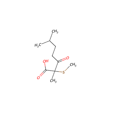 CSC(C)(C(=O)O)C(=O)CCC(C)C